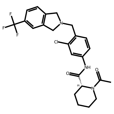 CC(=O)N1CCCC[C@@H]1C(=O)Nc1ccc(CN2Cc3ccc(C(F)(F)F)cc3C2)c(Cl)c1